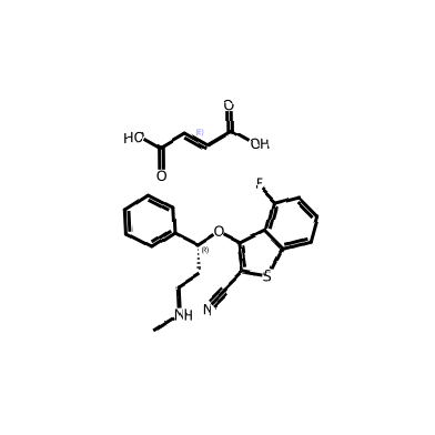 CNCC[C@@H](Oc1c(C#N)sc2cccc(F)c12)c1ccccc1.O=C(O)/C=C/C(=O)O